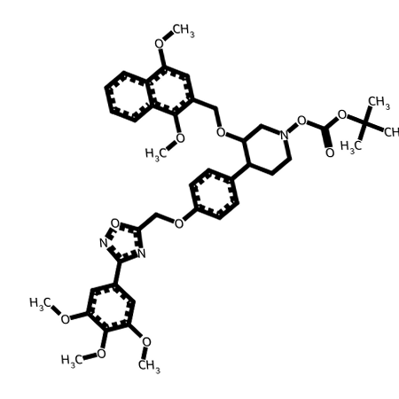 COc1cc(-c2noc(COc3ccc(C4CCN(OC(=O)OC(C)(C)C)CC4OCc4cc(OC)c5ccccc5c4OC)cc3)n2)cc(OC)c1OC